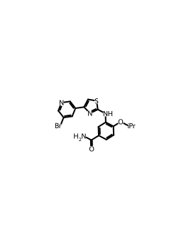 CC(C)Oc1ccc(C(N)=O)cc1Nc1nc(-c2cncc(Br)c2)cs1